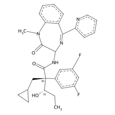 CC[C@H](O)[C@](CC1CC1)(C(=O)NC1N=C(c2ccccn2)c2ccccc2N(C)C1=O)c1cc(F)cc(F)c1